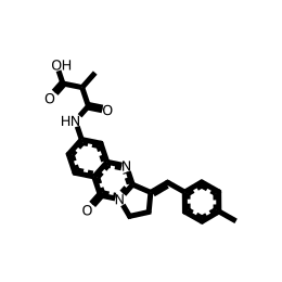 Cc1ccc(C=C2CCn3c2nc2cc(NC(=O)C(C)C(=O)O)ccc2c3=O)cc1